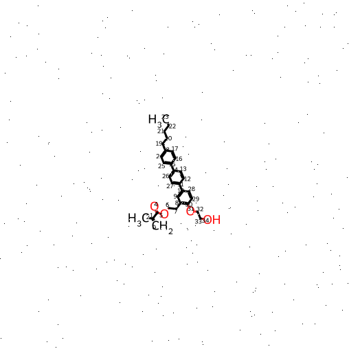 C=C(C)C(=O)OCCc1cc(-c2ccc(-c3ccc(CCCCC)cc3)cc2)ccc1OCCO